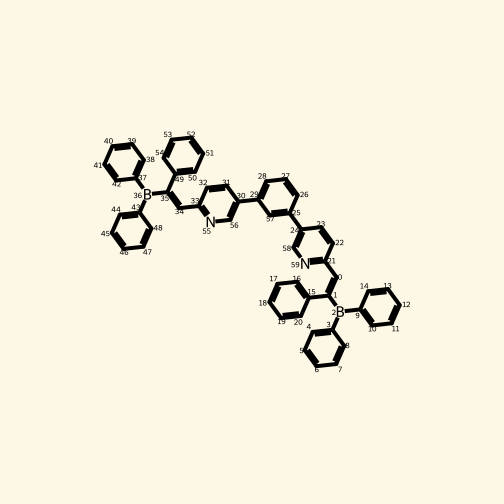 C(=C(\B(c1ccccc1)c1ccccc1)c1ccccc1)/c1ccc(-c2cccc(-c3ccc(/C=C(/B(c4ccccc4)c4ccccc4)c4ccccc4)nc3)c2)cn1